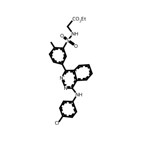 CCOC(=O)CNS(=O)(=O)c1cc(-c2nnc(Nc3ccc(Cl)cc3)c3ccccc23)ccc1C